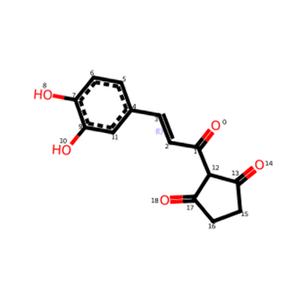 O=C(/C=C/c1ccc(O)c(O)c1)C1C(=O)CCC1=O